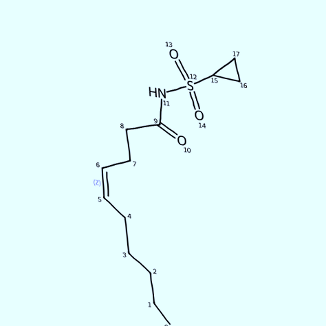 CCCCC/C=C\CCC(=O)NS(=O)(=O)C1CC1